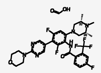 C[C@@H]1CN(c2cc(F)c(-c3cnc(N4CCOCC4)nc3)c(F)c2NC(=O)c2ccc(F)cc2C(F)(F)F)C[C@H](C)N1C.O=CO